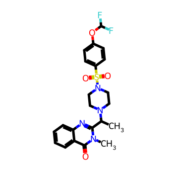 CC(c1nc2ccccc2c(=O)n1C)N1CCN(S(=O)(=O)c2ccc(OC(F)F)cc2)CC1